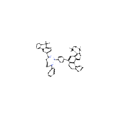 CC1(C)CCC(C)(C)c2c1ccc1c2cc(-c2ccc(/C3=N/C(c4ccc5c(c4)-c4ccccc4C5(C)C)C/C=C/C(c4ccccc4)N3)cc2)c2ccc3ccccc3c21